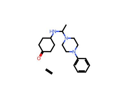 C=C.CC(NC1CCC(=O)CC1)N1CCN(c2ccccc2)CC1